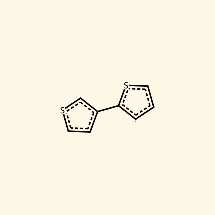 [c]1ccsc1-c1ccsc1